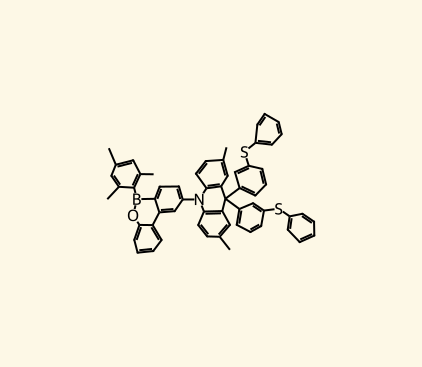 Cc1cc(C)c(B2Oc3ccccc3-c3cc(N4c5ccc(C)cc5C(c5cccc(Sc6ccccc6)c5)(c5cccc(Sc6ccccc6)c5)c5cc(C)ccc54)ccc32)c(C)c1